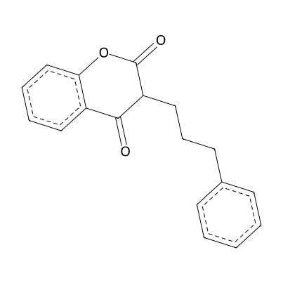 O=C1Oc2ccccc2C(=O)C1CCCc1ccccc1